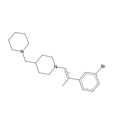 C/C(=C\N1CCC(CN2CCCCC2)CC1)c1cccc(Br)c1